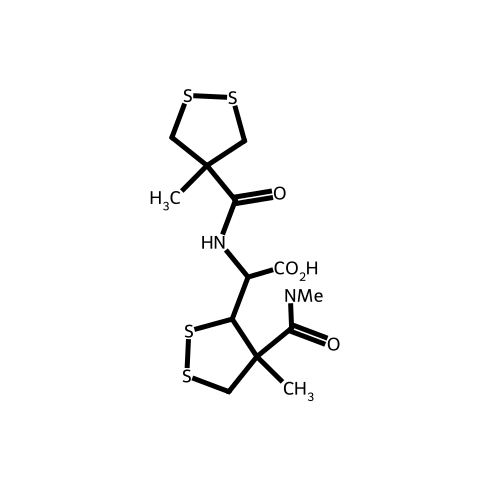 CNC(=O)C1(C)CSSC1C(NC(=O)C1(C)CSSC1)C(=O)O